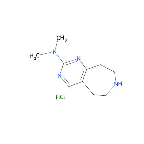 CN(C)c1ncc2c(n1)CCNCC2.Cl